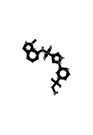 Cn1ncc2cccc(NS(=O)(=O)c3cnn(-c4cc(C(C)(C)CO)ccn4)c3)c21